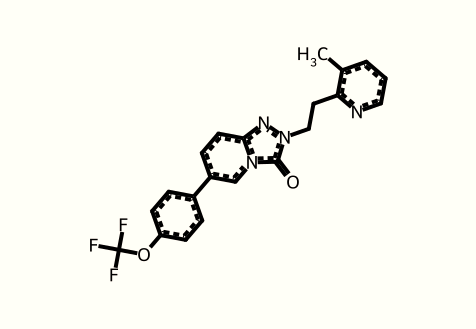 Cc1cccnc1CCn1nc2ccc(-c3ccc(OC(F)(F)F)cc3)cn2c1=O